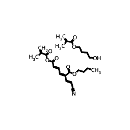 C=C(C)C(=O)OC(=O)C=CC=C(C=CC#N)C(=O)OCCCC.C=C(C)C(=O)OCCCCO